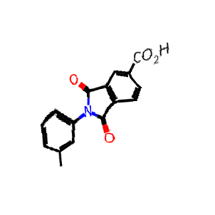 Cc1cccc(N2C(=O)c3ccc(C(=O)O)cc3C2=O)c1